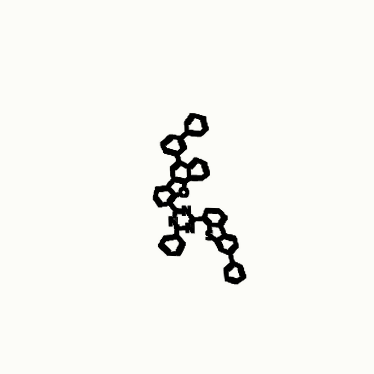 c1ccc(-c2cccc(-c3cc4c5cccc(-c6nc(-c7ccccc7)nc(-c7cccc8c7sc7cc(-c9ccccc9)ccc78)n6)c5oc4c4ccccc34)c2)cc1